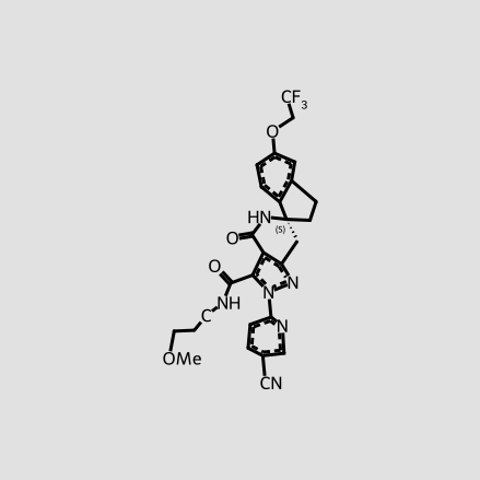 COCCCNC(=O)c1c2c(nn1-c1ccc(C#N)cn1)C[C@]1(CCc3cc(OCC(F)(F)F)ccc31)NC2=O